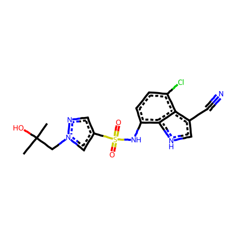 CC(C)(O)Cn1cc(S(=O)(=O)Nc2ccc(Cl)c3c(C#N)c[nH]c23)cn1